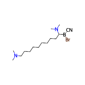 CN(C)CCCCCCCCCC(B(Br)C#N)N(C)C